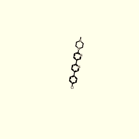 CN1CCN(c2ccc(-c3ccc(-c4ccc(Cl)cc4)cn3)cn2)CC1